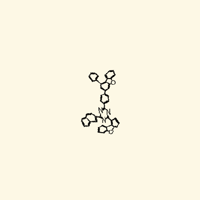 c1ccc(-c2cc(-c3ccc(-c4nc(-c5ccc6ccccc6c5)nc(-c5cccc6oc7ccccc7c56)n4)cc3)cc3oc4ccccc4c23)cc1